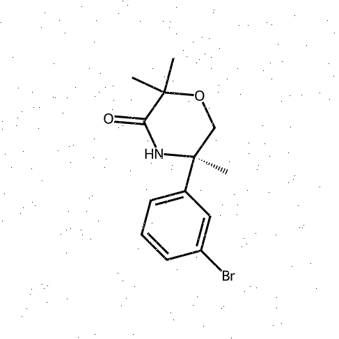 CC1(C)OC[C@@](C)(c2cccc(Br)c2)NC1=O